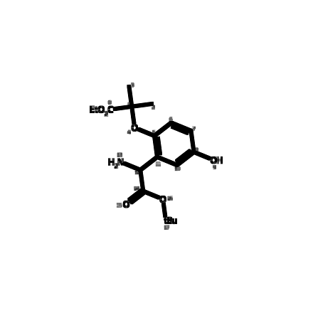 CCOC(=O)C(C)(C)Oc1ccc(O)cc1C(N)C(=O)OC(C)(C)C